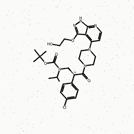 CC(C)N(C[C@@H](C(=O)N1CCN(c2ccnc3[nH]nc(OCCO)c23)CC1)c1ccc(Cl)cc1)C(=O)OC(C)(C)C